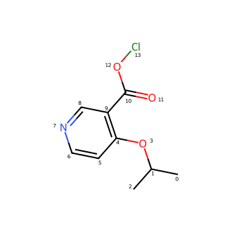 CC(C)Oc1ccncc1C(=O)OCl